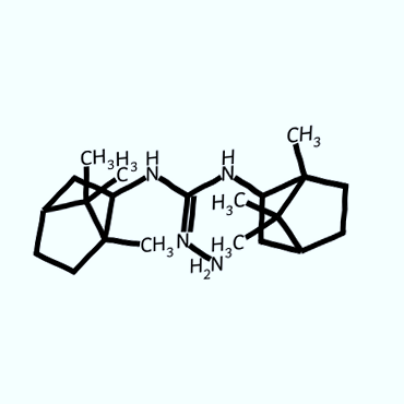 CC1(C)C2CCC1(C)C(NC(=NN)NC1CC3CCC1(C)C3(C)C)C2